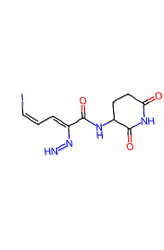 N=N/C(=C\C=C/I)C(=O)NC1CCC(=O)NC1=O